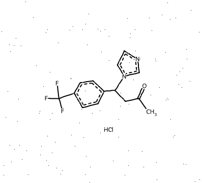 CC(=O)CC(c1ccc(C(F)(F)F)cc1)n1ccnc1.Cl